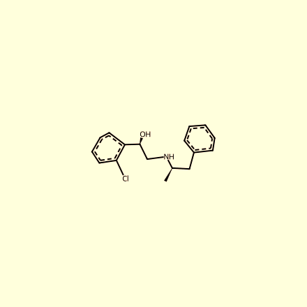 C[C@H](Cc1ccccc1)NC[C@H](O)c1ccccc1Cl